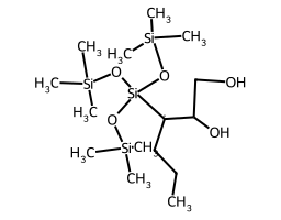 CCC[C](C(O)CO)[Si](O[Si](C)(C)C)(O[Si](C)(C)C)O[Si](C)(C)C